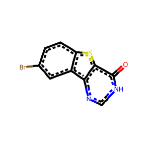 O=c1[nH]cnc2c1sc1ccc(Br)cc12